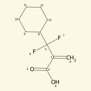 C=C(C(=O)O)C(F)(F)C1CCCCC1